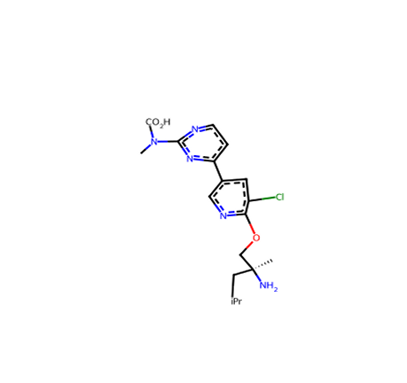 CC(C)C[C@](C)(N)COc1ncc(-c2ccnc(N(C)C(=O)O)n2)cc1Cl